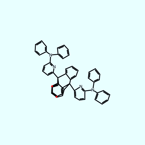 c1ccc(N(c2ccccc2)c2cccc(C34c5ccccc5C(c5cccc(N(c6ccccc6)c6ccccc6)n5)(c5ccccc53)c3ccccc34)n2)cc1